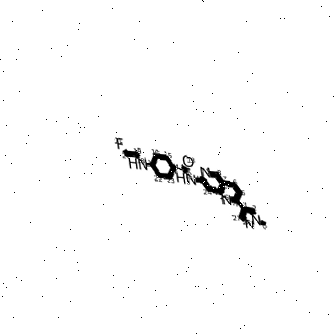 Cn1cc(-c2ccc3cnc(NC(=O)[C@H]4CC[C@H](NCCF)CC4)cc3n2)cn1